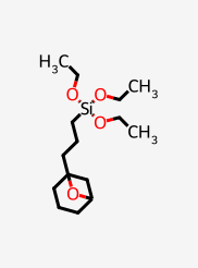 CCO[Si](CCCC12CCCC(C1)O2)(OCC)OCC